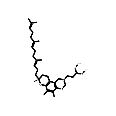 CCOC(CCN1COc2c(C)c(C)c3c(c2C1)CC[C@@](C)(CC/C=C(\C)CC/C=C(\C)CCC=C(C)C)O3)OCC